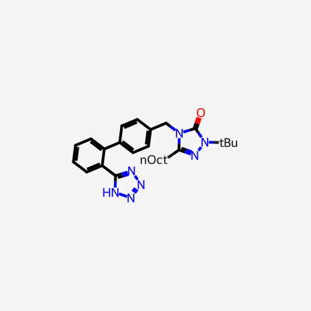 CCCCCCCCc1nn(C(C)(C)C)c(=O)n1Cc1ccc(-c2ccccc2-c2nnn[nH]2)cc1